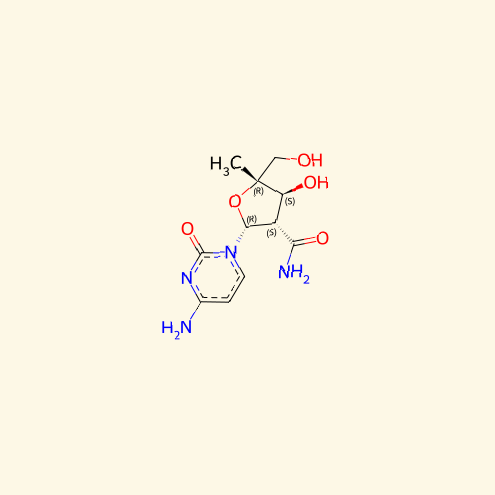 C[C@]1(CO)O[C@@H](n2ccc(N)nc2=O)[C@@H](C(N)=O)[C@@H]1O